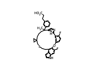 CC1(c2cccc(CCC(=O)O)c2)CCCC2(CC2)CSCCc2c(c(F)cc3[nH]ccc23)Oc2ccc(F)c(c2)-c2ncc1[nH]2